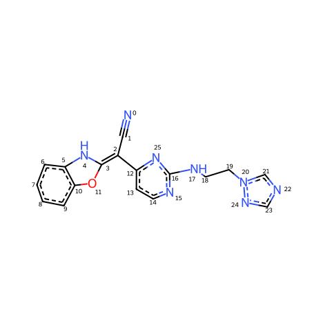 N#CC(=C1Nc2ccccc2O1)c1ccnc(NCCn2cncn2)n1